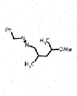 COC(C)CC(C)CN=NCC(C)C